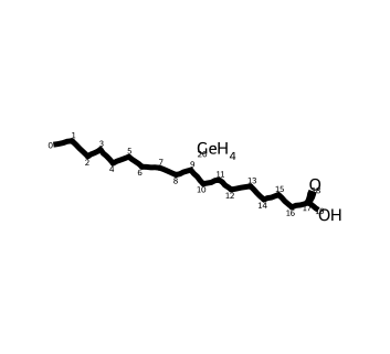 CCCCCCCCCCCCCCCCCC(=O)O.[GeH4]